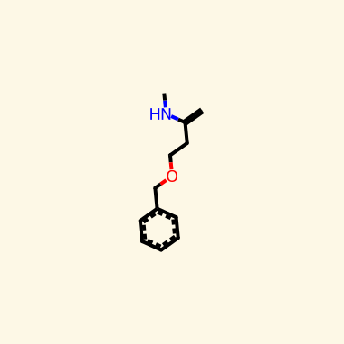 C=C(CCOCc1ccccc1)NC